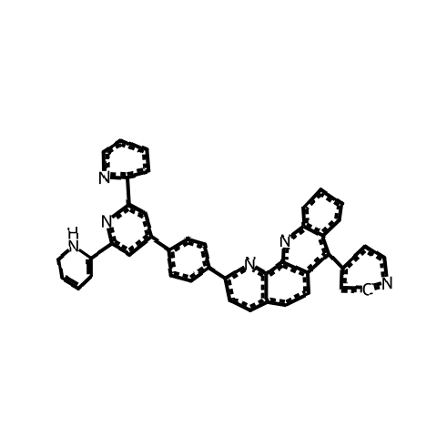 C1=CCNC(c2cc(-c3ccc(-c4ccc5ccc6c(-c7ccncc7)c7ccccc7nc6c5n4)cc3)cc(-c3ccccn3)n2)=C1